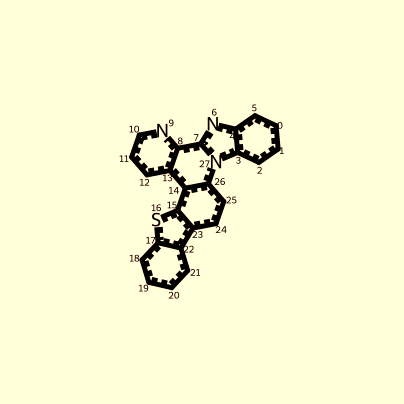 c1ccc2c(c1)nc1c3ncccc3c3c4sc5ccccc5c4ccc3n21